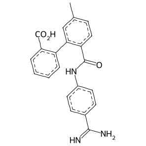 Cc1ccc(C(=O)Nc2ccc(C(=N)N)cc2)c(-c2ccccc2C(=O)O)c1